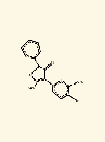 CCc1ccc(C2=C(NC)OC(c3ccccc3)C2=O)cc1C